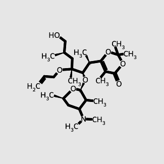 C=CCO[C@](C)(C[C@@H](C)CO)[C@H](O[C@@H]1O[C@H](C)CC(N(C)C)C1C)[C@@H](C)C1=C(C)C(=O)OC(C)(C)O1